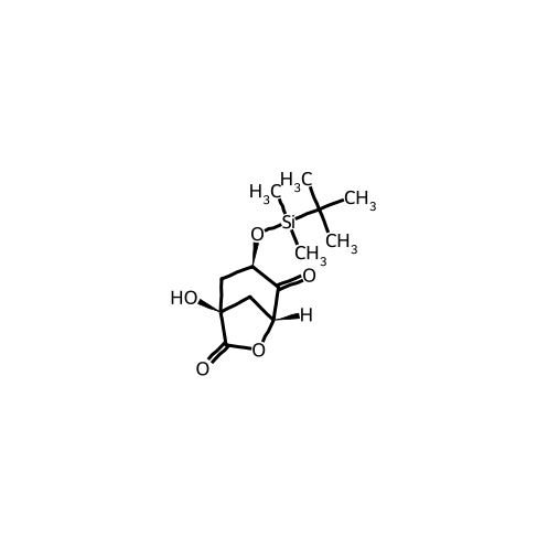 CC(C)(C)[Si](C)(C)O[C@@H]1C[C@]2(O)C[C@@H](OC2=O)C1=O